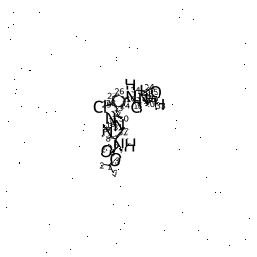 CC(C)OC(=O)Nc1cnc2nc(-c3cc(NC(=O)N4C[C@@H]5C[C@H]4CO5)ccc3Cl)cn2c1